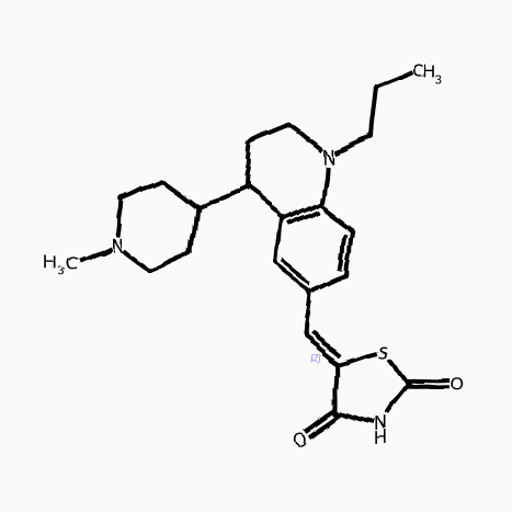 CCCN1CCC(C2CCN(C)CC2)c2cc(/C=C3\SC(=O)NC3=O)ccc21